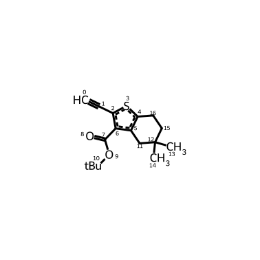 C#Cc1sc2c(c1C(=O)OC(C)(C)C)CC(C)(C)CC2